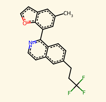 Cc1cc(-c2nccc3cc(CCC(F)(F)F)ccc23)c2occc2c1